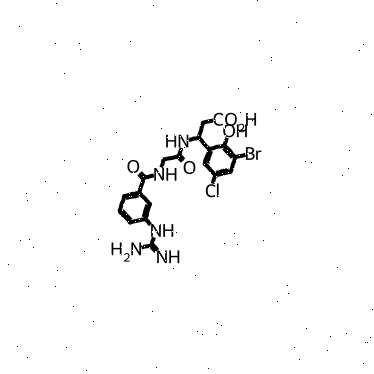 N=C(N)Nc1cccc(C(=O)NCC(=O)NC(CC(=O)O)c2cc(Cl)cc(Br)c2O)c1